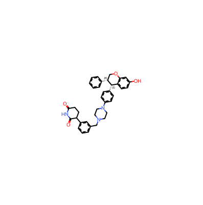 O=C1CCC(c2cccc(CN3CCN(c4ccc([C@H]5c6ccc(O)cc6OC[C@H]5c5ccccc5)cc4)CC3)c2)C(=O)N1